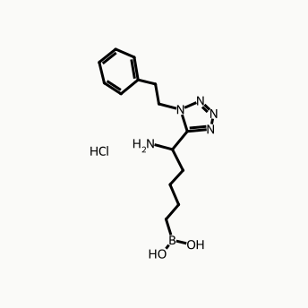 Cl.NC(CCCCB(O)O)c1nnnn1CCc1ccccc1